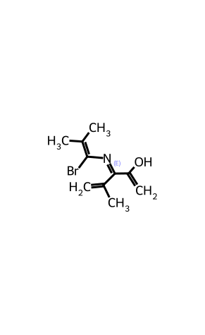 C=C(C)/C(=N\C(Br)=C(C)C)C(=C)O